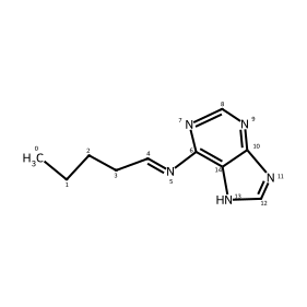 CCCCC=Nc1ncnc2nc[nH]c12